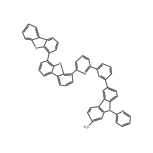 Cc1ccc2c3cc(-c4cccc(-c5cccc(-c6cccc7c6sc6c(-c8cccc9c8sc8ccccc89)cccc67)n5)n4)ccc3n(-c3ccccn3)c2c1